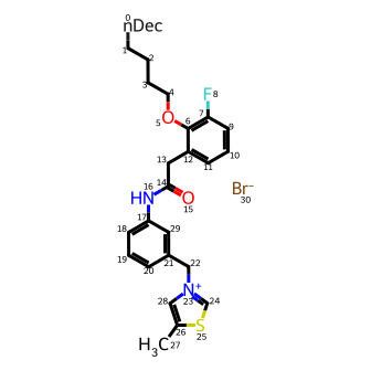 CCCCCCCCCCCCCCOc1c(F)cccc1CC(=O)Nc1cccc(C[n+]2csc(C)c2)c1.[Br-]